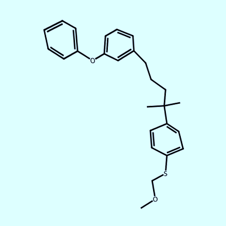 COCSc1ccc(C(C)(C)CCCc2cccc(Oc3ccccc3)c2)cc1